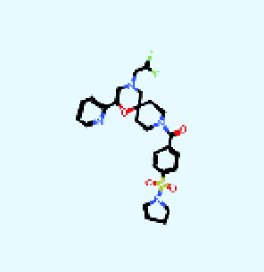 O=C(c1ccc(S(=O)(=O)N2CCCC2)cc1)N1CCC2(CC1)CN(CC(F)F)CC(c1ccccn1)O2